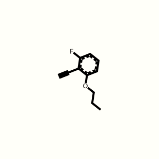 C#Cc1c(F)cccc1OCCC